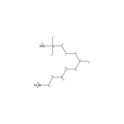 CC(CCCC(C)(C)O)CCSCCN